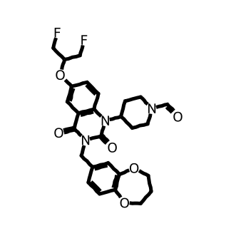 O=CN1CCC(n2c(=O)n(Cc3ccc4c(c3)OCCCO4)c(=O)c3cc(OC(CF)CF)ccc32)CC1